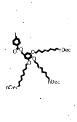 CCCCCCCCCCCCCCCCCCOc1cc(COC(=O)c2ccc(I)cc2)cc(OCCCCCCCCCCCCCCCCCC)c1OCCCCCCCCCCCCCCCCCC